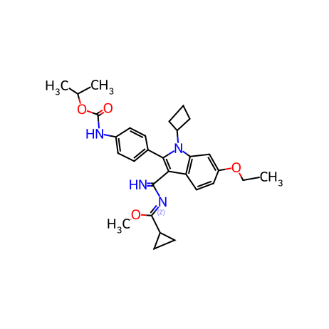 CCOc1ccc2c(C(=N)/N=C(\OC)C3CC3)c(-c3ccc(NC(=O)OC(C)C)cc3)n(C3CCC3)c2c1